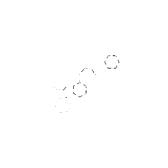 NC(=O)C1(c2ccc3c(c2)N=CC(Cc2ccccc2)=NS3)CCCCC1